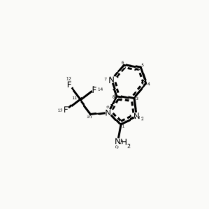 Nc1nc2cccnc2n1CC(F)(F)F